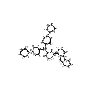 c1ccc(-c2ccc(N(c3ccc(-c4ccccc4)nc3)c3cccc(-c4cccc5c4sc4ccccc45)c3)cc2)cc1